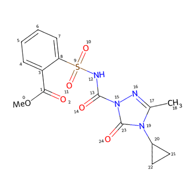 COC(=O)c1ccccc1S(=O)(=O)NC(=O)n1nc(C)n(C2CC2)c1=O